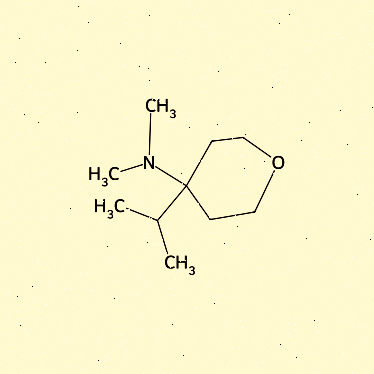 CC(C)C1(N(C)C)CCOCC1